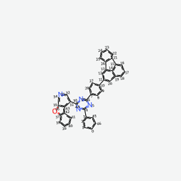 c1ccc(-c2nc(-c3ccc(-c4cc5c6c(cccc6c4)-c4ccccc4-5)cc3)nc(-c3cncc4oc5ccccc5c34)n2)cc1